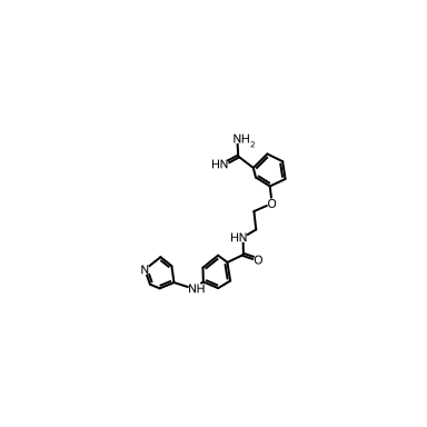 N=C(N)c1cccc(OCCNC(=O)c2ccc(Nc3ccncc3)cc2)c1